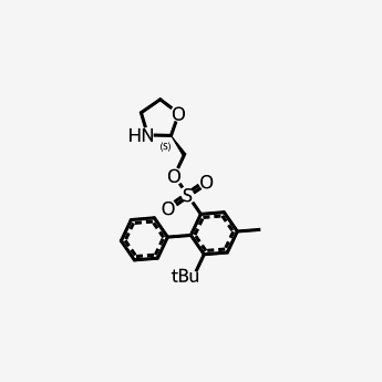 Cc1cc(C(C)(C)C)c(-c2ccccc2)c(S(=O)(=O)OC[C@H]2NCCO2)c1